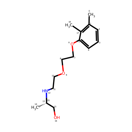 Cc1cccc(OCCOCCN[C@@H](C)CO)c1C